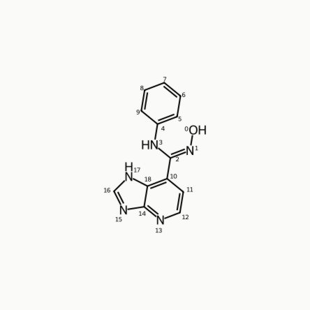 O/N=C(\Nc1ccccc1)c1ccnc2nc[nH]c12